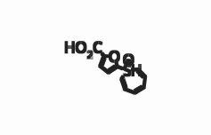 O=C(O)c1ccc([SH]2(=O)C=CC=CC=C2)o1